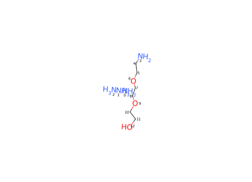 N.N.N.NCCOCCOCCO